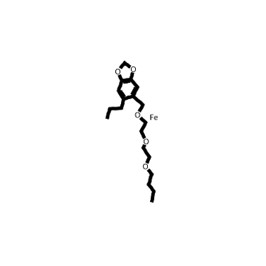 CCCCOCCOCCOCc1cc2c(cc1CCC)OCO2.[Fe]